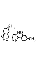 Cc1ccc(-c2ccc(C(O)C3CN(C)CCC3=O)nn2)c(O)c1